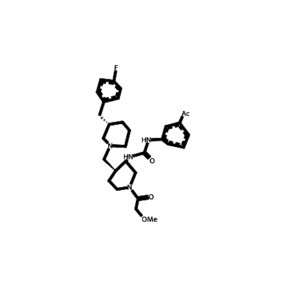 COCC(=O)N1CC[C@@H](CN2CCC[C@@H](Cc3ccc(F)cc3)C2)[C@@H](NC(=O)Nc2cccc(C(C)=O)c2)C1